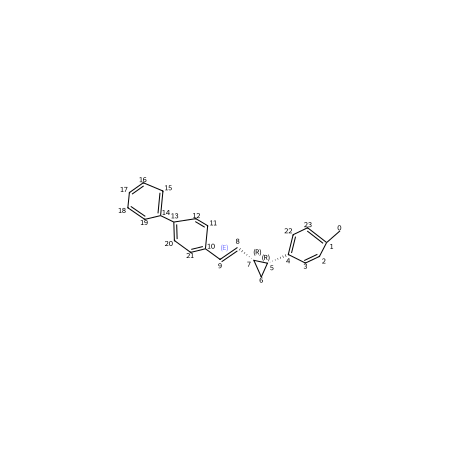 Cc1ccc([C@@H]2C[C@@H]2/C=C/c2ccc(-c3ccccc3)cc2)cc1